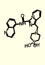 O=C(Nc1cccc2ncccc12)c1nc(CN2CCS(O)(O)CC2)c2ccccn12